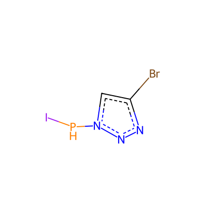 Brc1cn(PI)nn1